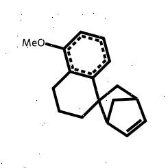 COc1cccc2c1CCCC21CC2C=CC1C2